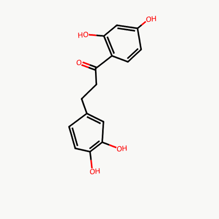 O=C(CCc1ccc(O)c(O)c1)c1ccc(O)cc1O